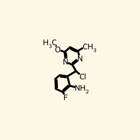 COc1cc(C)nc(C(Cl)c2cccc(F)c2N)n1